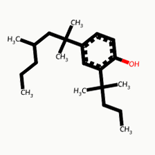 CCCC(C)CC(C)(C)c1ccc(O)c(C(C)(C)CCC)c1